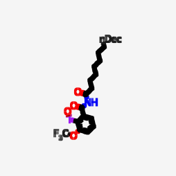 CCCCCCCCCCCCCCCCCC(=O)NC(=O)c1cccc(OC(F)(F)F)c1I=O